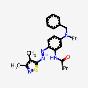 CCN(Cc1ccccc1)c1ccc(/N=N/c2snc(C)c2C)c(NC(=O)C(C)C)c1